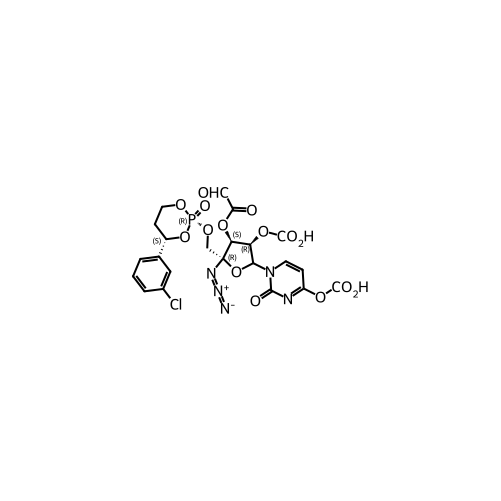 [N-]=[N+]=N[C@]1(CO[P@@]2(=O)OCC[C@@H](c3cccc(Cl)c3)O2)OC(n2ccc(OC(=O)O)nc2=O)[C@H](OC(=O)O)[C@@H]1OC(=O)C=O